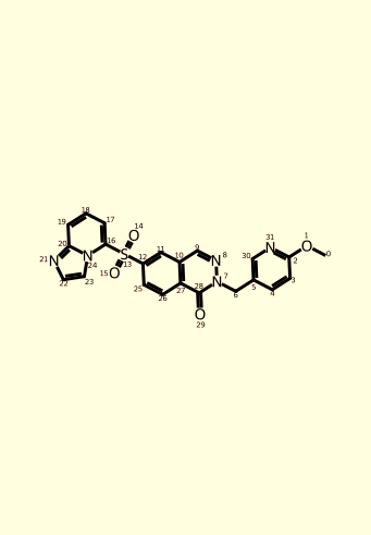 COc1ccc(Cn2ncc3cc(S(=O)(=O)c4cccc5nccn45)ccc3c2=O)cn1